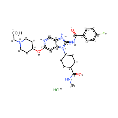 CC(C)NC(=O)C1CCC(n2/c(=N/C(=O)c3ccc(F)cc3)[nH]c3cnc(OC4CCN(CC(=O)O)CC4)cc32)CC1.Cl